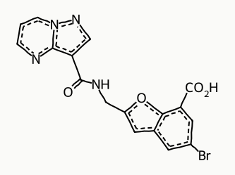 O=C(O)c1cc(Br)cc2cc(CNC(=O)c3cnn4cccnc34)oc12